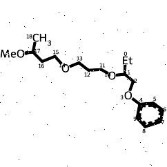 CCC(COc1ccccc1)OCCCOCCC(C)OC